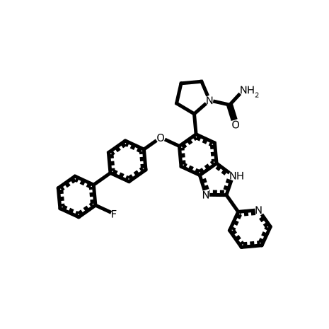 NC(=O)N1CCCC1c1cc2[nH]c(-c3ccccn3)nc2cc1Oc1ccc(-c2ccccc2F)cc1